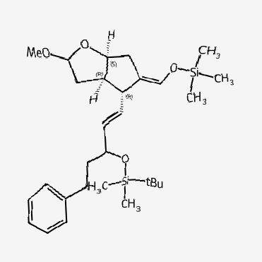 COC1C[C@H]2[C@H](CC(=CO[Si](C)(C)C)[C@@H]2C=CC(CCc2ccccc2)O[Si](C)(C)C(C)(C)C)O1